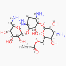 CCCCCCCCCC(=O)OC[C@H]1OC(O[C@@H]2C(N)CC(N)C(O[C@H]3OC(CN)[C@@H](O)[C@H](O)C3O)[C@@H]2O)[C@H](O)[C@H](N)C1O